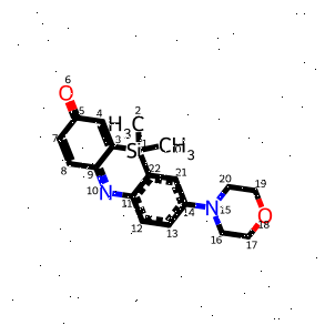 C[Si]1(C)C2=CC(=O)C=CC2=Nc2ccc(N3CCOCC3)cc21